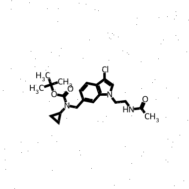 CC(=O)NCCn1cc(Cl)c2ccc(CN(C(=O)OC(C)(C)C)C3CC3)cc21